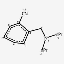 CCCN(CCC)Cc1ccccc1C#N